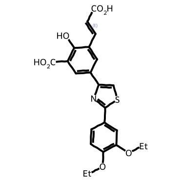 CCOc1ccc(-c2nc(-c3cc(/C=C/C(=O)O)c(O)c(C(=O)O)c3)cs2)cc1OCC